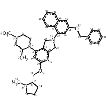 CC1CN(C(=O)O)CCN1c1nc(OC[C@@H]2CCCN2C)nc2c1CN(c1cc(OCc3ccccc3)cc3ccccc13)C2